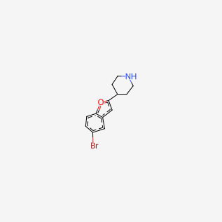 Brc1ccc2oc(C3CCNCC3)cc2c1